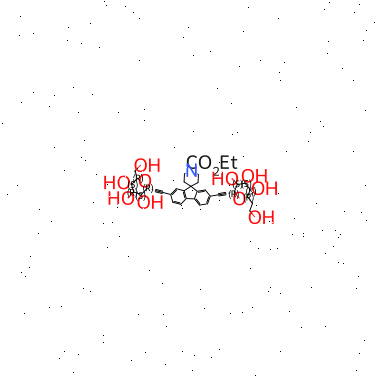 CCOC(=O)N1CCC2(CC1)c1cc(C#C[C@H]3O[C@H](CO)[C@@H](O)[C@H](O)[C@@H]3O)ccc1-c1ccc(C#C[C@H]3O[C@H](CCO)[C@@H](O)[C@H](O)[C@@H]3O)cc12